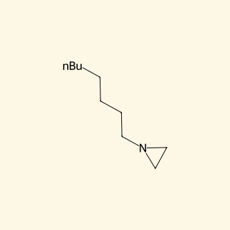 CCCCCCCCN1CC1